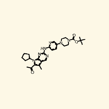 CC(=O)c1c(C)c2cnc(Nc3ccc(N4CCN(C(=O)OC(C)(C)C)CC4)cn3)nc2n1C1CCCC1